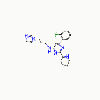 Fc1ccccc1-c1cc(NCCCn2ccnc2)nc(-c2ccccn2)n1